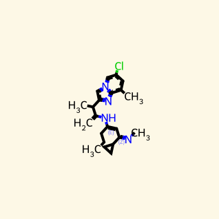 C=C(N/C(=C/C(=N\C)C1CC1)CCC)C(C)c1cn2cc(Cl)cc(C)c2n1